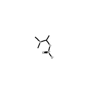 CC(O[N+](=O)[O-])N(C)C